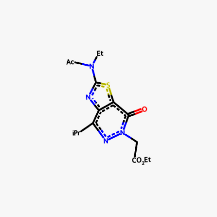 CCOC(=O)Cn1nc(C(C)C)c2nc(N(CC)C(C)=O)sc2c1=O